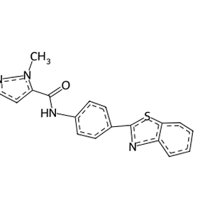 Cn1nccc1C(=O)Nc1ccc(-c2nc3ccccc3s2)cc1